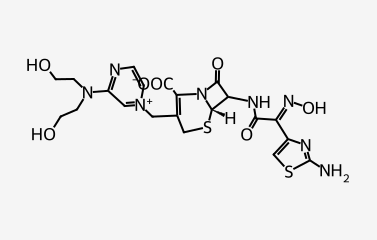 Nc1nc(C(=NO)C(=O)NC2C(=O)N3C(C(=O)[O-])=C(C[n+]4ccnc(N(CCO)CCO)c4)CS[C@@H]23)cs1